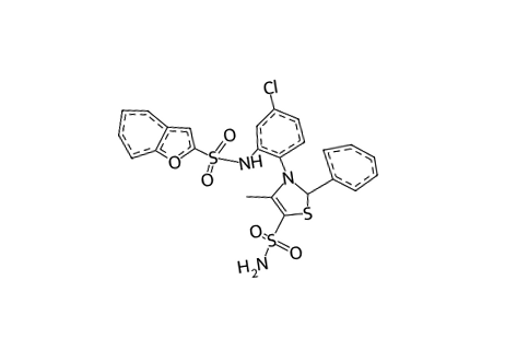 CC1=C(S(N)(=O)=O)SC(c2ccccc2)N1c1ccc(Cl)cc1NS(=O)(=O)c1cc2ccccc2o1